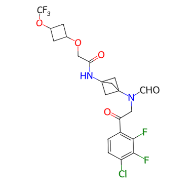 O=CN(CC(=O)c1ccc(Cl)c(F)c1F)C12CC(NC(=O)COC3CC(OC(F)(F)F)C3)(C1)C2